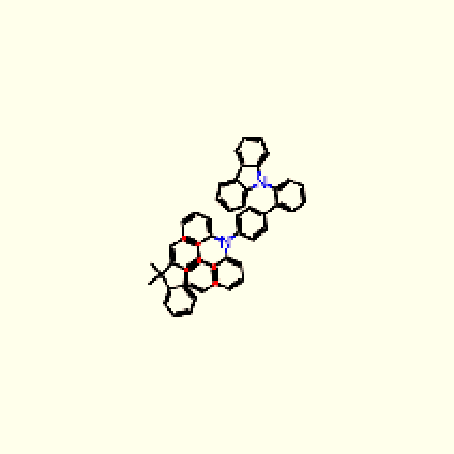 CC1(C)c2ccccc2-c2c(-c3ccccc3N(c3ccc(-c4ccccc4-n4c5ccccc5c5ccccc54)cc3)c3ccccc3-c3ccccc3)cccc21